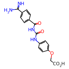 N=C(N)c1ccc(C(=O)NC(=O)Nc2ccc(OCC(=O)O)cc2)cc1